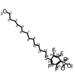 CCCCCCCCCCCCCCSc1c(F)c(F)c(S(=O)(=O)O)c(F)c1F